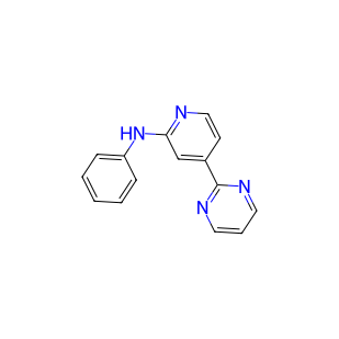 c1ccc(Nc2cc(-c3ncccn3)ccn2)cc1